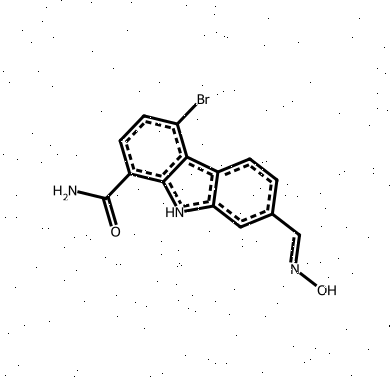 NC(=O)c1ccc(Br)c2c1[nH]c1cc(C=NO)ccc12